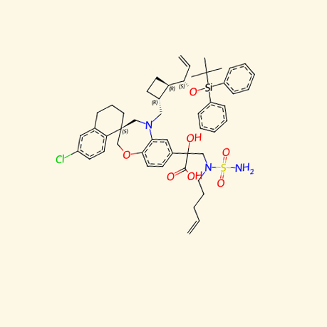 C=CCCCN(CC(O)(C(=O)O)c1ccc2c(c1)N(C[C@@H]1CC[C@H]1[C@H](C=C)O[Si](c1ccccc1)(c1ccccc1)C(C)(C)C)C[C@@]1(CCCc3cc(Cl)ccc31)CO2)S(N)(=O)=O